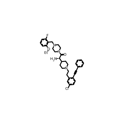 CCOc1cccc(F)c1CN1CCN(C(=O)[C@H](N)C2CCN(CCc3cc(Cl)ccc3C#Cc3ccccc3)CC2)CC1